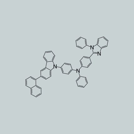 c1ccc(N(c2ccc(-c3nc4ccccc4n3-c3ccccc3)cc2)c2ccc(-n3c4ccccc4c4cc(-c5cccc6ccccc56)ccc43)cc2)cc1